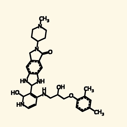 Cc1ccc(OCC(O)CNC2=C(C3Nc4cc5c(cc4N3)C(=O)N(C3CCN(C)CC3)C5)C(O)NC=C2)c(C)c1